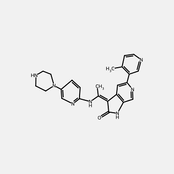 C/C(Nc1ccc(N2CCNCC2)cn1)=C1/C(=O)Nc2cnc(-c3cnccc3C)cc21